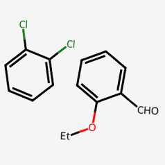 CCOc1ccccc1C=O.Clc1ccccc1Cl